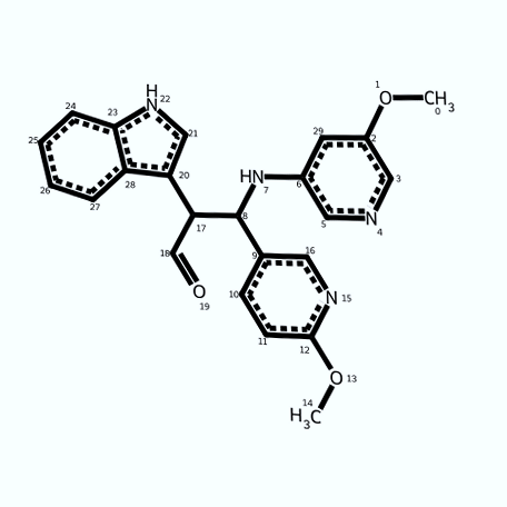 COc1cncc(NC(c2ccc(OC)nc2)C(C=O)c2c[nH]c3ccccc23)c1